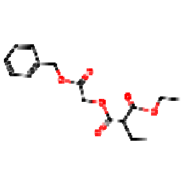 CCOC(=O)C(CC)C(=O)OCC(=O)OCc1ccccc1